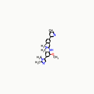 C=N/C(=C\c1cc(-c2cncc(C)c2)ccc1C)Nc1ccc(-c2cnc(C)n2C)cc1OC